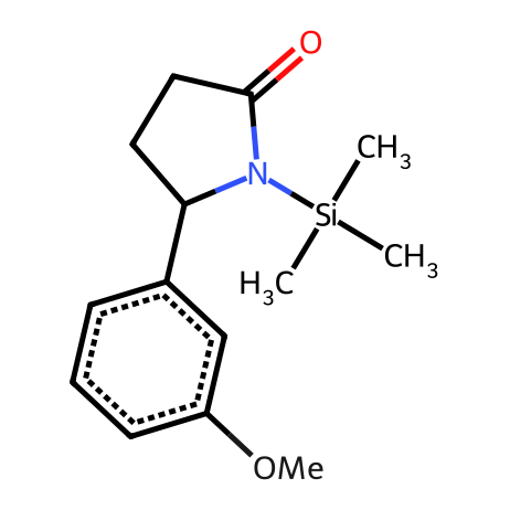 COc1cccc(C2CCC(=O)N2[Si](C)(C)C)c1